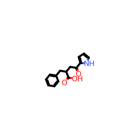 O=C(CC(Cc1ccccc1)C(=O)O)c1ccc[nH]1